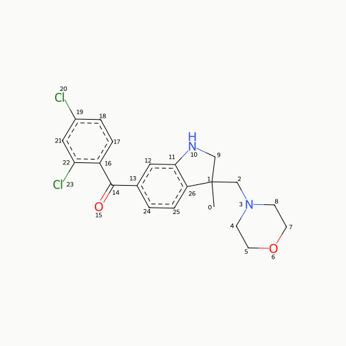 CC1(CN2CCOCC2)CNc2cc(C(=O)c3ccc(Cl)cc3Cl)ccc21